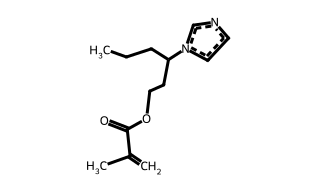 C=C(C)C(=O)OCCC(CCC)n1ccnc1